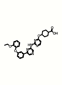 CCOc1ccccc1Oc1cccc(-c2cncc(Nc3nccc(OC4CCC(C(=O)O)CC4)n3)n2)c1